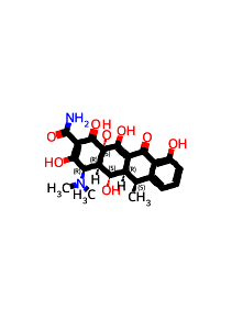 C[C@@H]1c2cccc(O)c2C(=O)C2=C(O)[C@]3(O)C(=O)C(C(N)=O)=C(O)[C@H](N(C)C)[C@@H]3[C@@H](O)[C@@H]21